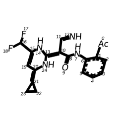 CC(=O)c1ccccc1NC(=O)/C(C=N)=C1/NC(C(F)F)=CC(=C2CC2)N1